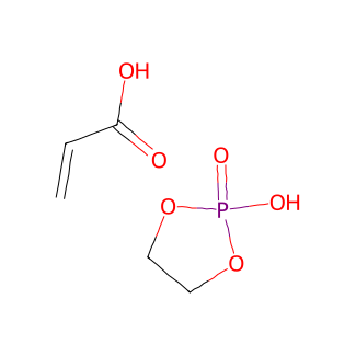 C=CC(=O)O.O=P1(O)OCCO1